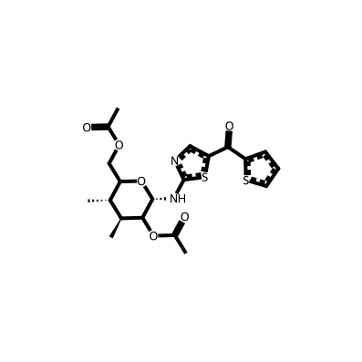 CC(=O)OCC1O[C@H](Nc2ncc(C(=O)c3cccs3)s2)C(OC(C)=O)[C@@H](C)[C@@H]1C